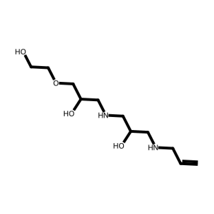 C=CCNCC(O)CNCC(O)COCCO